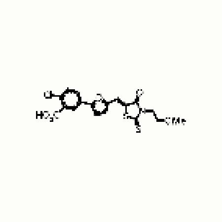 COCCN1C(=O)/C(=C/c2ccc(-c3ccc(Cl)c(C(=O)O)c3)o2)SC1=S